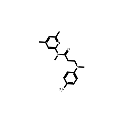 Cc1cc(C)nc(N(C)C(=O)CCN(C)c2ccc([N+](=O)[O-])cc2)c1